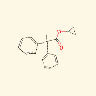 CC(C(=O)OC1CC1)(c1ccccc1)c1ccccc1